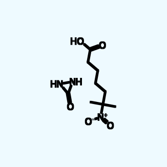 CC(C)(CCCCC(=O)O)[N+](=O)[O-].O=C1NN1